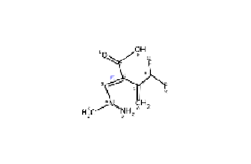 C=C(/C(=C\N(C)N)C(=O)O)C(F)F